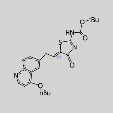 CCCCOc1ccnc2ccc(C/C=C3\SC(NC(=O)OC(C)(C)C)=NC3=O)cc12